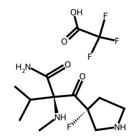 CN[C@@](C(N)=O)(C(=O)[C@@]1(F)CCNC1)C(C)C.O=C(O)C(F)(F)F